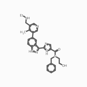 CCNCc1cncc(-c2ccc3[nH]nc(-c4ncc(C(=O)N(CCO)Cc5ccccc5)[nH]4)c3c2)c1C